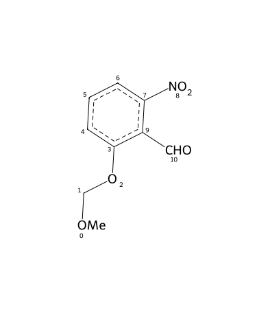 COCOc1cccc([N+](=O)[O-])c1C=O